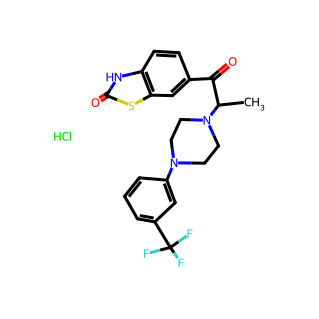 CC(C(=O)c1ccc2[nH]c(=O)sc2c1)N1CCN(c2cccc(C(F)(F)F)c2)CC1.Cl